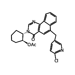 CC(=O)O[C@H]1CCCC[C@@H]1n1cnc2c(cc(Cc3ccc(Cl)nc3)c3ccccc32)c1=O